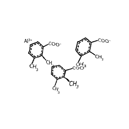 Cc1cccc(C(=O)[O-])c1C.Cc1cccc(C(=O)[O-])c1C.Cc1cccc(C(=O)[O-])c1C.[Al+3]